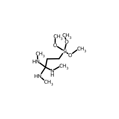 CNC(CC[Si](OC)(OC)OC)(NC)NC